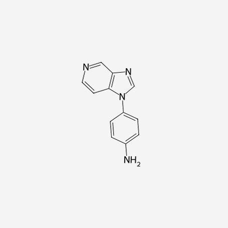 Nc1ccc(-n2cnc3cnccc32)cc1